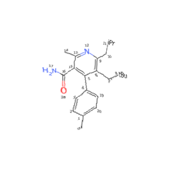 Cc1ccc(-c2c([CH]C(C)(C)C)c(CC(C)C)nc(C)c2C(N)=O)cc1